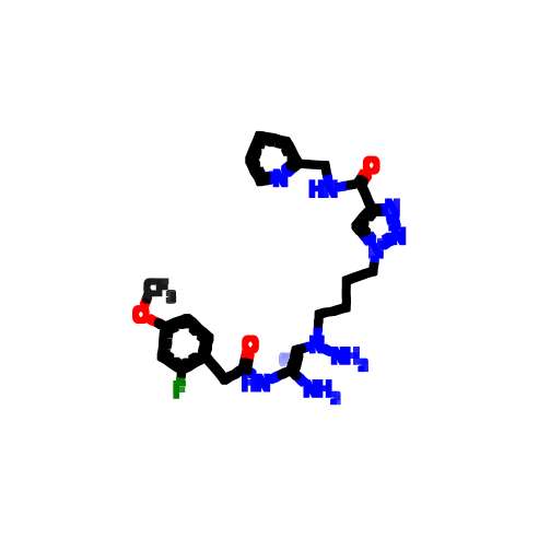 N/C(=C\N(N)CCCCn1cc(C(=O)NCc2ccccn2)nn1)NC(=O)Cc1ccc(OC(F)(F)F)cc1F